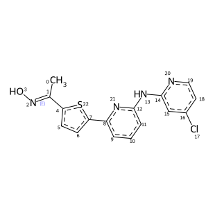 C/C(=N\O)c1ccc(-c2cccc(Nc3cc(Cl)ccn3)n2)s1